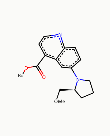 COC[C@@H]1CCCN1c1ccc2nccc(C(=O)OC(C)(C)C)c2c1